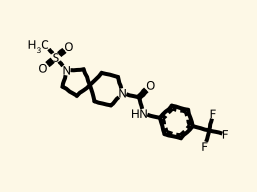 CS(=O)(=O)N1CCC2(CCN(C(=O)Nc3ccc(C(F)(F)F)cc3)CC2)C1